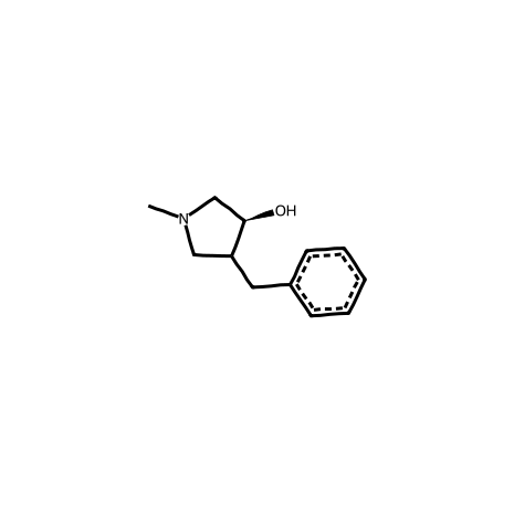 CN1CC(Cc2ccccc2)[C@H](O)C1